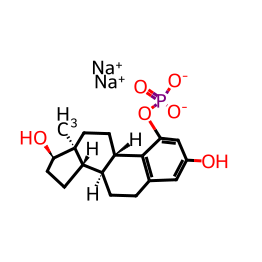 C[C@]12CC[C@@H]3c4c(cc(O)cc4OP(=O)([O-])[O-])CC[C@H]3[C@@H]1CC[C@H]2O.[Na+].[Na+]